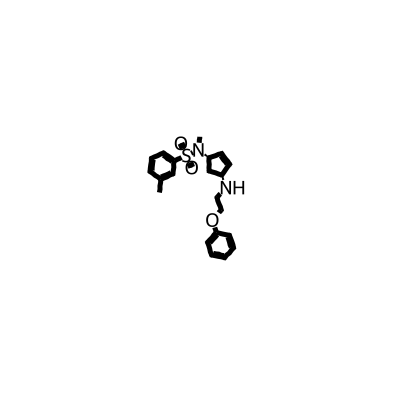 Cc1cccc(S(=O)(=O)N(C)[C@@H]2C=C[C@H](NCCOc3ccccc3)C2)c1